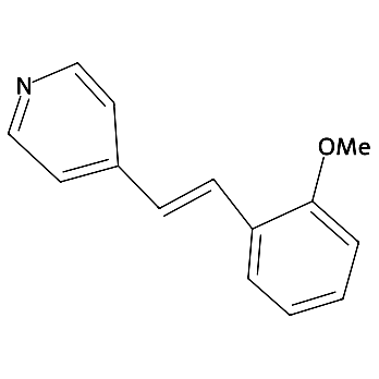 COc1ccccc1C=Cc1ccncc1